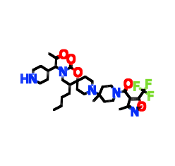 CCCCC1CN(C(C(C)=O)C2CCNCC2)C(=O)OC12CCN(C1(C)CCN(C(=O)c3c(C)noc3C(F)(F)F)CC1)CC2